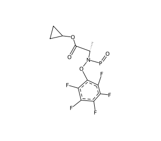 C[C@@H](C(=O)OC1CC1)N(Oc1c(F)c(F)c(F)c(F)c1F)P=O